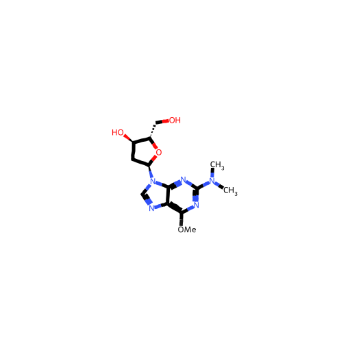 COc1nc(N(C)C)nc2c1ncn2[C@H]1C[C@@H](O)[C@H](CO)O1